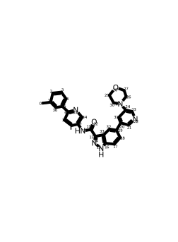 Cc1cccc(-c2ccc(NC(=O)c3n[nH]c4ccc(-c5cncc(N6CCOCC6)c5)cc34)cn2)c1